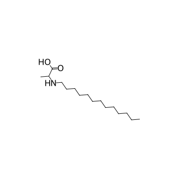 CCCCCCCCCCCCCNC(C)C(=O)O